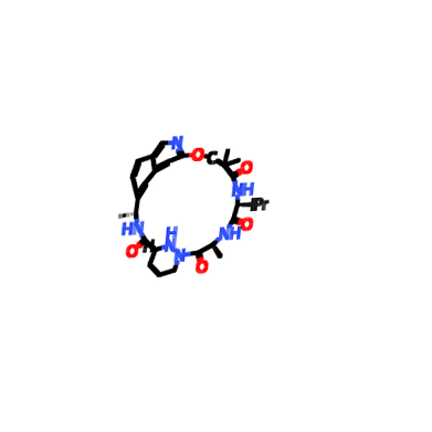 CC(C)[C@@H]1NC(=O)C(C)(C)COc2cc3cc(ccc3cn2)[C@@H](C)NC(=O)[C@H]2CCCN(N2)C(=O)[C@H](C)NC1=O